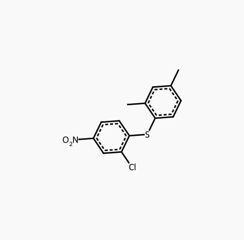 Cc1ccc(Sc2ccc([N+](=O)[O-])cc2Cl)c(C)c1